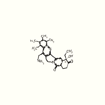 CC[C@@]1(O)C(=O)CCc2c1cc1n(c2=O)Cc2c-1nc1c(C)c(C)c(C)c(C)c1c2CN